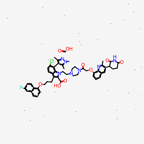 Cc1nc2c(OCC(=O)N3CCN(CCn4c(C(=O)O)c(CCCOc5cccc6cc(F)ccc56)c5ccc(Cl)c(-c6c(C)nn(C)c6C)c54)CC3)cccc2cc1C1CCC(=O)NC1=O.O=CO